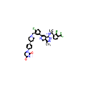 Cc1nnc(N[C@H](C)c2cccc(C(F)F)c2F)c2cc(-c3ccc(F)c(CN4CCC(c5ccc(N6CCC(=O)NC6=O)cc5)CC4)c3)ncc12